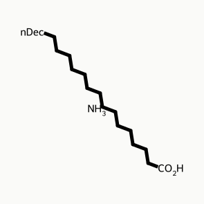 CCCCCCCCCCCCCCCCCCCCCCCCC(=O)O.N